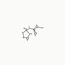 COC(=O)CC1(C)CCOC1